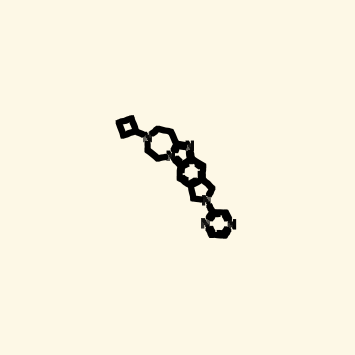 c1cnc(N2Cc3cc4nc5n(c4cc3C2)CCN(C2CCC2)CC5)cn1